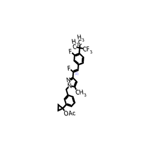 CC(=O)OC1(c2cccc(Cn3nc(/C(F)=C/c4ccc(C(C)(C)C(F)(F)F)c(F)c4)cc3C)c2)CC1